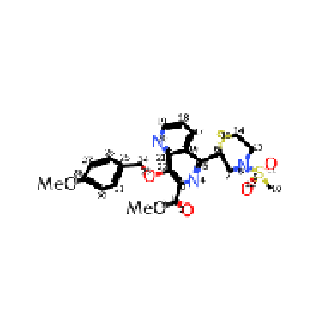 COC(=O)c1nc(C2CN(S(C)(=O)=O)CCS2)c2cccnc2c1OCc1ccc(OC)cc1